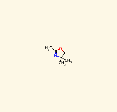 CC1=NC(C)(C)CO1